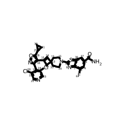 NC(=O)c1cc(F)c2nc(N3CCC4(C=C(c5c(-c6c(Cl)cncc6Cl)noc5C5CC5)C4)CC3)sc2c1